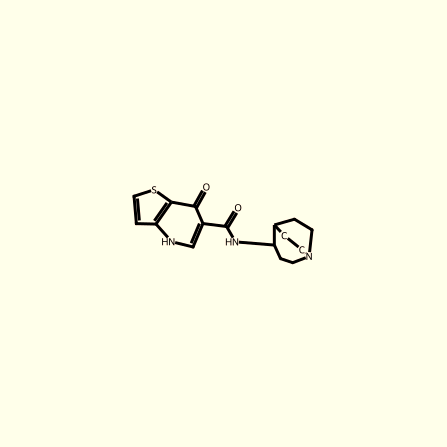 O=C(NC1CCN2CCC1CC2)c1c[nH]c2ccsc2c1=O